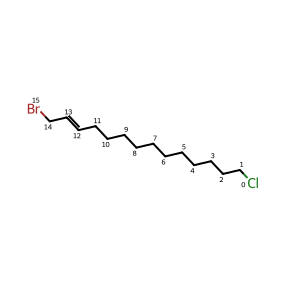 ClCCCCCCCCCCCC=CCBr